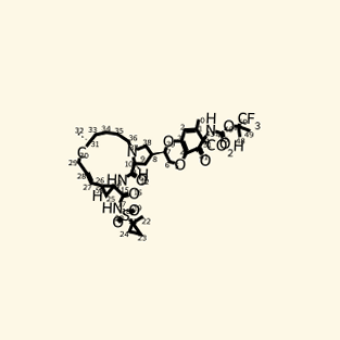 CC1=CC2=C(OC[C@@H](C3C[C@H]4C(=O)NC5(C(=O)NS(=O)(=O)C6(C)CC6)C[C@H]5/C=C\CC[C@H](C)CCCCN4C3)O2)C(=O)[C@]1(NC(=O)OC(C)(C)C(F)(F)F)C(=O)O